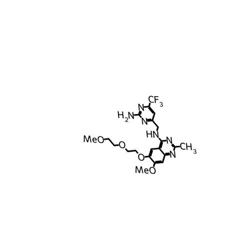 COCCOCCOc1cc2c(NCc3cc(C(F)(F)F)nc(N)n3)nc(C)nc2cc1OC